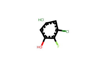 Cl.Oc1cccc(Cl)c1F